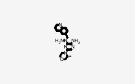 C[C@H]1COCCN1c1cnc(N)c(N(N)Cc2ccc3ncccc3c2)n1